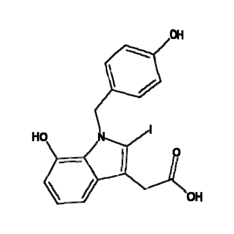 O=C(O)Cc1c(I)n(Cc2ccc(O)cc2)c2c(O)cccc12